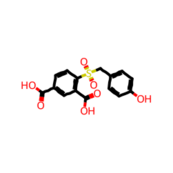 O=C(O)c1ccc(S(=O)(=O)Cc2ccc(O)cc2)c(C(=O)O)c1